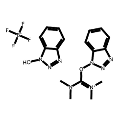 CN(C)C(On1nnc2ccccc21)=[N+](C)C.F[B-](F)(F)F.On1nnc2ccccc21